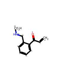 C=CC(=O)c1ccccc1CNC(=O)O